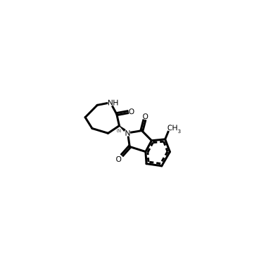 Cc1cccc2c1C(=O)N([C@H]1CCCCNC1=O)C2=O